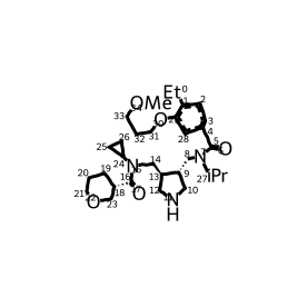 CCc1ccc(C(=O)N(C[C@@H]2CNC[C@H]2CN(C(=O)[C@H]2CCCOC2)C2CC2)C(C)C)cc1OCCCOC